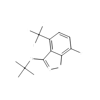 CC(C)(C)Nc1noc2c(Br)ccc(C(F)(F)F)c12